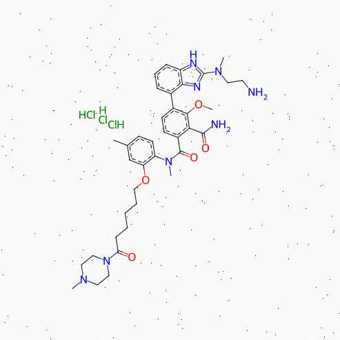 COc1c(-c2cccc3[nH]c(N(C)CCN)nc23)ccc(C(=O)N(C)c2ccc(C)cc2OCCCCCC(=O)N2CCN(C)CC2)c1C(N)=O.Cl.Cl.Cl